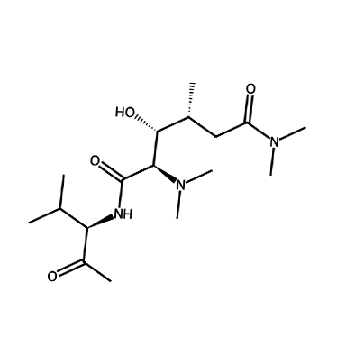 CC(=O)[C@H](NC(=O)[C@@H]([C@H](O)[C@H](C)CC(=O)N(C)C)N(C)C)C(C)C